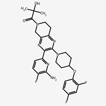 CC(C)(O)C(=O)N1CCc2nc(N3CCC(Oc4ccc(F)cc4F)CC3)c(-c3ccc(F)c(N)n3)nc2C1